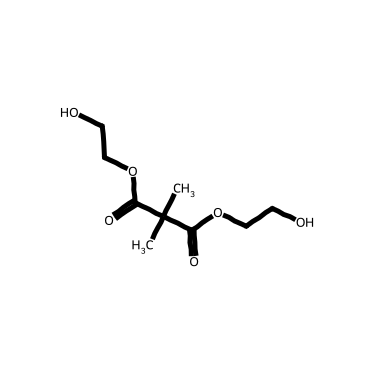 CC(C)(C(=O)OCCO)C(=O)OCCO